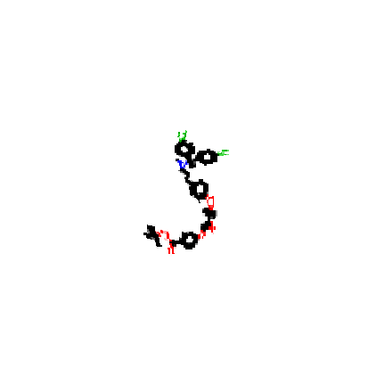 CN(CCCc1ccc(OC(C)(C)C(=O)COc2ccc(C(=O)OC(C)(C)C)cc2)cc1)C(C)(c1ccc(Cl)cc1)c1ccc(Cl)cc1